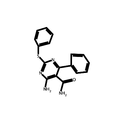 NC(=O)c1c(N)nc(Sc2ccccc2)nc1-c1ccccc1